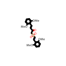 COc1cccc(OC)c1C=CC(=O)CS(=O)(=O)/C=C/c1c(OC)cccc1OC